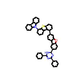 c1ccc(C2=NC(c3ccc4oc5cc(-c6cccc7sc8c(-n9c%10ccccc%10c%10ccccc%109)cccc8c67)ccc5c4c3)NC(c3ccccc3)=N2)cc1